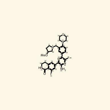 COC1CCN(Cc2cc(-c3nc(-c4cc(F)c5c(c4)CCNC5=O)c(N)nc3F)ccc2N2CCOCC2)C1